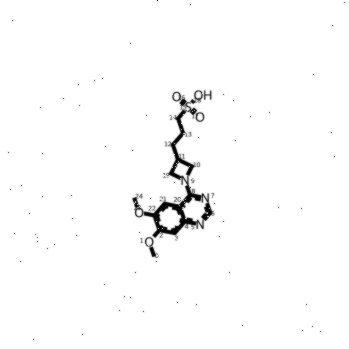 COc1cc2ncnc(N3CC(CCCS(=O)(=O)O)C3)c2cc1OC